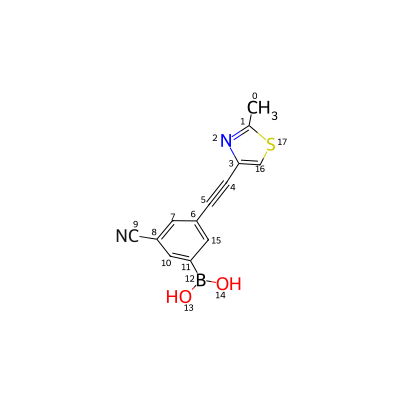 Cc1nc(C#Cc2cc(C#N)cc(B(O)O)c2)cs1